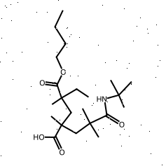 CCCCOC(=O)C(C)(CC)CC(C)(CC(C)(C)C(=O)NC(C)(C)C)C(=O)O